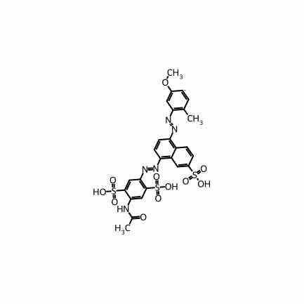 COc1[c]cc(C)c(N=Nc2ccc(N=Nc3cc(S(=O)(=O)O)c(NC(C)=O)cc3S(=O)(=O)O)c3cc(S(=O)(=O)O)ccc23)c1